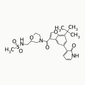 CC(C)(C)c1cc(-c2ccc[nH]c2=O)cc2c(C(=O)N3CCOC(CNS(C)(=O)=O)C3)coc12